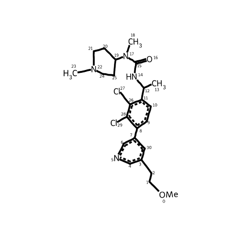 COCCc1cncc(-c2ccc(C(C)NC(=O)N(C)C3CCN(C)CC3)c(Cl)c2Cl)c1